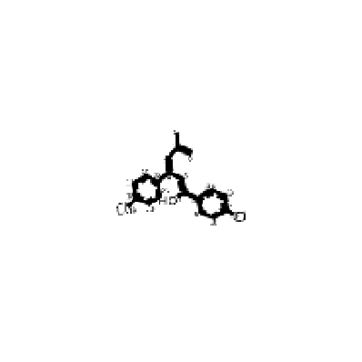 C=C(C)/C=C(\C=C(/O)c1ccc(Cl)cc1)c1ccc(Cl)cc1